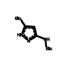 CC(C)(C)Nc1cc(C(C)(C)C)[nH]n1